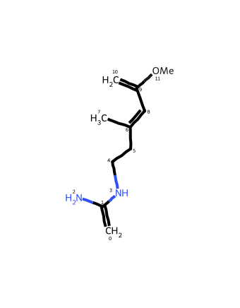 C=C(N)NCC/C(C)=C/C(=C)OC